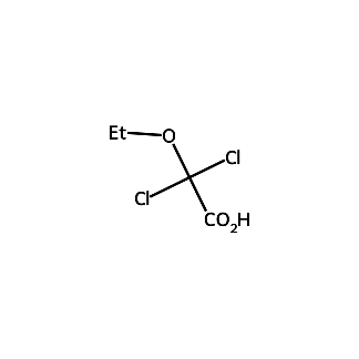 CCOC(Cl)(Cl)C(=O)O